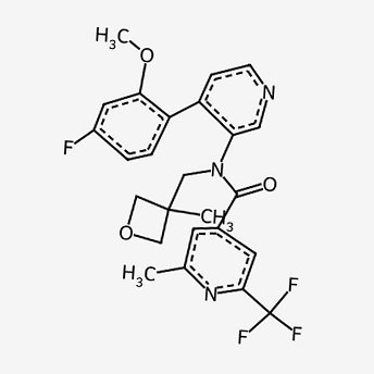 COc1cc(F)ccc1-c1ccncc1N(CC1(C)COC1)C(=O)c1cc(C)nc(C(F)(F)F)c1